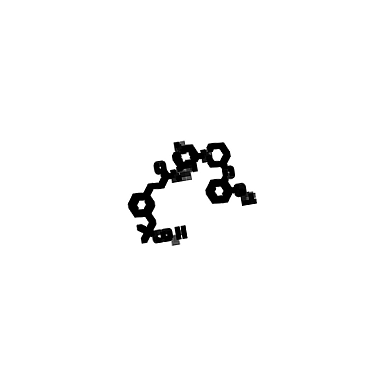 CCOc1ccccc1OC1CCCN(c2cncc(NC(=O)CCc3cccc(CC(C)(C)C(=O)O)c3)n2)C1